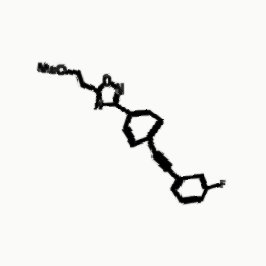 COCCc1nc(-c2ccc(C#Cc3cccc(F)c3)cc2)no1